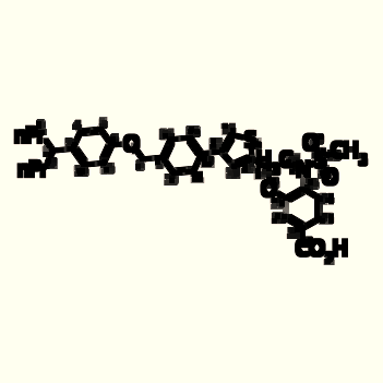 CCCC(CCC)c1ccc(OCc2ccc(-c3csc(COc4cc(C(=O)O)ccc4N(C)S(C)(=O)=O)c3)cc2)cc1